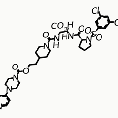 O=C(O)[C@H](CNC(=O)N1CCC(CCOC(=O)N2CCN(c3ccncc3)CC2)CC1)NC(=O)[C@@H]1CCCN1S(=O)(=O)c1cc(Cl)cc(Cl)c1